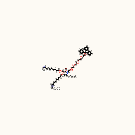 CCCCCCCC/C=C\CCCCCCCCOCC(OCCCCCCCC/C=C\CCCCCCCC)C(=O)N(CCOCCOCCOCCOCCOC(c1ccccc1)(c1ccccc1)c1ccccc1)C(CC)CCCCC